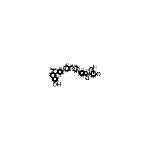 CC(C)[C@H]1CCc2cc(O)ccc2[C@H]1c1ccc(N2CCC(CN3CCN(c4ccc5c(c4)CN(C4CCC(=O)NC4=O)C5=O)CC3)CC2)cc1